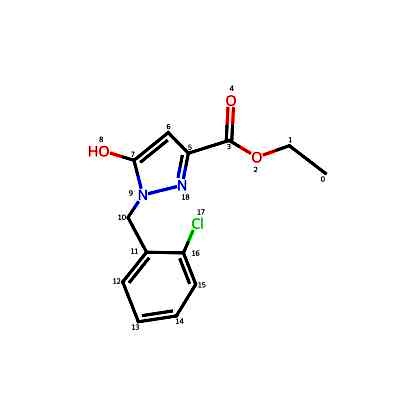 CCOC(=O)c1cc(O)n(Cc2ccccc2Cl)n1